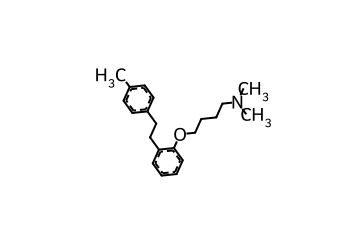 Cc1ccc(CCc2ccccc2OCCCCN(C)C)cc1